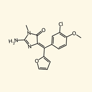 COc1ccc(C(=C2N=C(N)N(C)C2=O)c2ccco2)cc1Cl